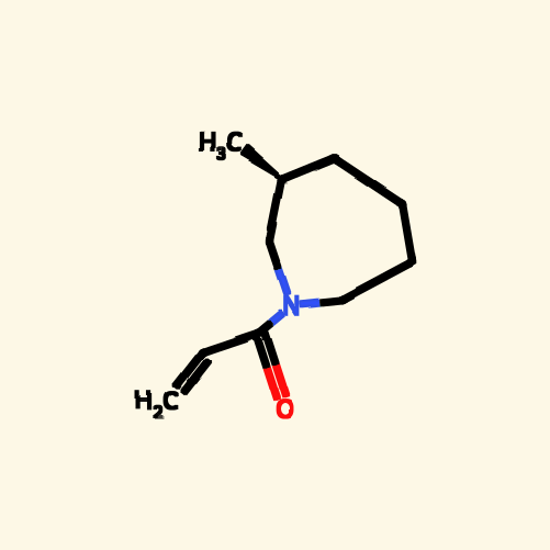 C=CC(=O)N1CCCC[C@H](C)C1